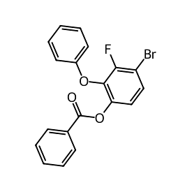 O=C(Oc1ccc(Br)c(F)c1Oc1ccccc1)c1ccccc1